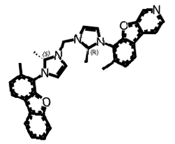 Cc1ccc2c(oc3ccccc32)c1N1C=CN(CN2C=CN(c3c(C)ccc4c3oc3cnccc34)[C@H]2C)[C@H]1C